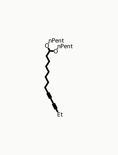 CCC#CC#CCCCCCCCC(OCCCCC)OCCCCC